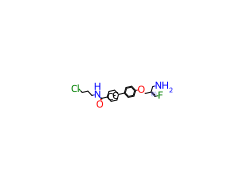 NC/C(=C\F)COc1ccc(C23CCC(C(=O)NCCCCl)(CC2)CC3)cc1